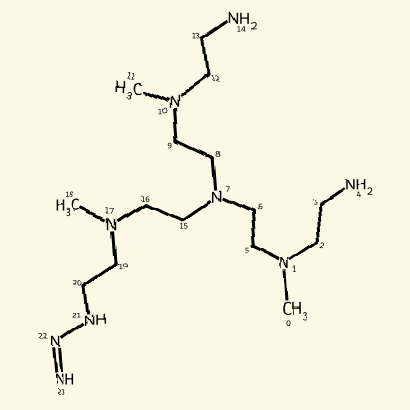 CN(CCN)CCN(CCN(C)CCN)CCN(C)CCNN=N